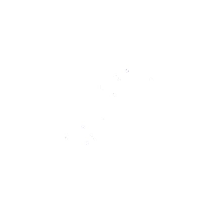 CC(C)(C)c1nnc(C(C)(C)CCC(C)(C)c2nnc(C(C)(C)C)o2)[nH]1